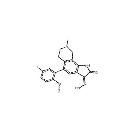 C=C1Nc2c(cc(-c3cc(F)ccc3OC)c3c2CN(C)CC3)/C1=N\O